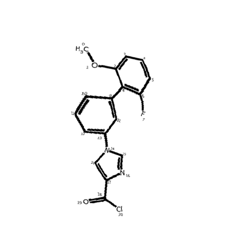 COc1cccc(F)c1-c1cccc(-n2cnc(C(=O)Cl)c2)c1